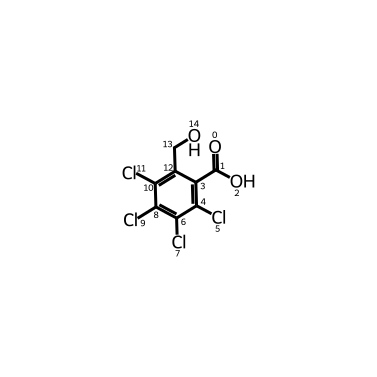 O=C(O)c1c(Cl)c(Cl)c(Cl)c(Cl)c1CO